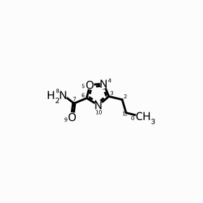 C[CH]Cc1noc(C(N)=O)n1